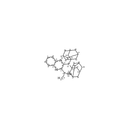 CP(c1nc2ccccc2nc1P(C12CC3CC(CC(C3)C1)C2)C12CC3CC(CC(C3)C1)C2)C(C)(C)C